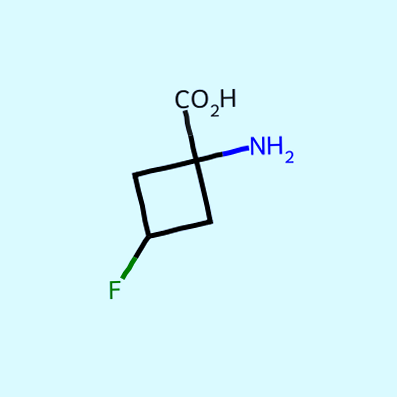 NC1(C(=O)O)CC(F)C1